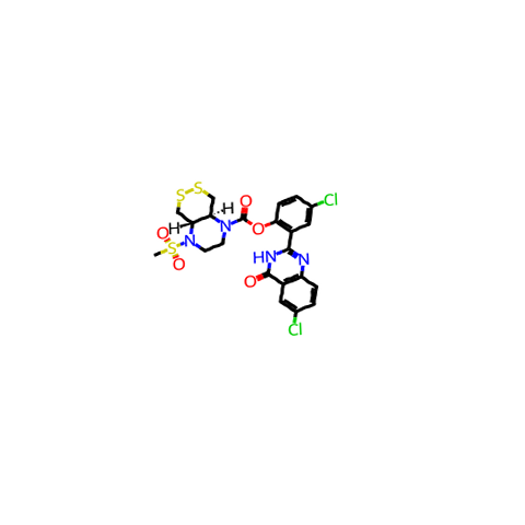 CS(=O)(=O)N1CCN(C(=O)Oc2ccc(Cl)cc2-c2nc3ccc(Cl)cc3c(=O)[nH]2)[C@@H]2CSSC[C@H]21